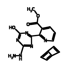 COC(=O)c1cccnc1-c1nc(O)nc(NN)n1.c1cc2ccc1-2